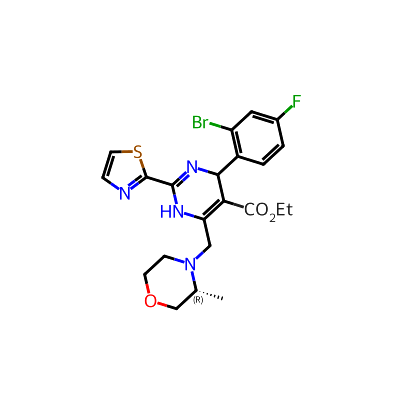 CCOC(=O)C1=C(CN2CCOC[C@H]2C)NC(c2nccs2)=NC1c1ccc(F)cc1Br